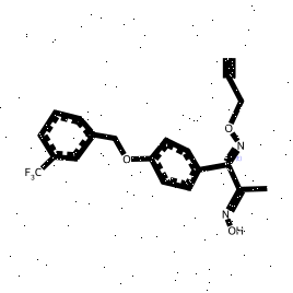 C#CCO/N=C(/C(C)=NO)c1ccc(OCc2cccc(C(F)(F)F)c2)cc1